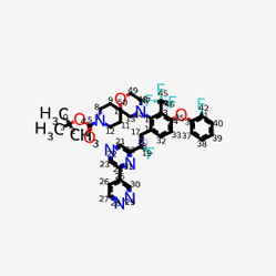 CC(C)(C)OC(=O)N1CCC2(CC1)CN(c1c(/C=C(\F)c3cncc(-c4ccnnc4)n3)ccc(Oc3ccccc3F)c1C(F)(F)F)CCO2